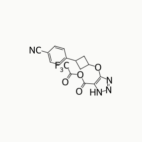 N#Cc1ccc(C2CC(Oc3nn[nH]c3C(=O)OC(=O)C(F)(F)F)C2)cc1